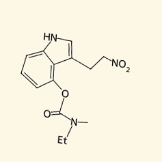 CCN(C)C(=O)Oc1cccc2[nH]cc(CC[N+](=O)[O-])c12